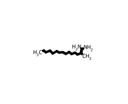 CCCCCCCCCCCCCC(C)=C(N)N